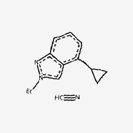 C#N.CCn1cc2c(C3CC3)cccc2n1